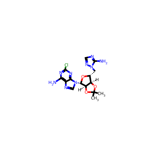 CC1(C)O[C@@H]2[C@H](O1)[C@@H](Cn1ncnc1N)O[C@H]2n1cnc2c(N)nc(Cl)nc21